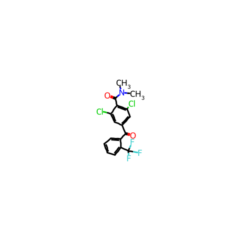 CN(C)C(=O)c1c(Cl)cc(C(=O)c2ccccc2C(F)(F)F)cc1Cl